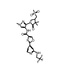 Cn1cc(NC(=O)c2coc(-c3ccnc(NCC(F)(F)F)c3)n2)c(N2CC(CS(C)(=O)=O)C(C)(C)C2=O)n1